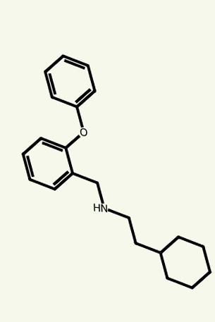 c1ccc(Oc2ccccc2CNCCC2CCCCC2)cc1